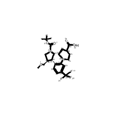 COC[C@H]1CN(C(=O)OC(C)(C)C)C[C@@H]1c1ccc(C(F)(F)F)cc1N1CCC(C(=O)O)CC1